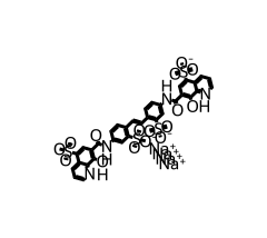 O=C(Nc1ccc(C=Cc2ccc(NC(=O)c3cc(S(=O)(=O)[O-])c4cccnc4c3O)cc2S(=O)(=O)[O-])c(S(=O)(=O)[O-])c1)c1cc(S(=O)(=O)[O-])c2cccnc2c1O.[Na+].[Na+].[Na+].[Na+]